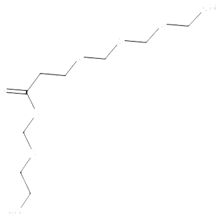 CCSCSCSCCC(=O)SCSCCO